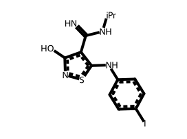 CC(C)NC(=N)c1c(O)nsc1Nc1ccc(I)cc1